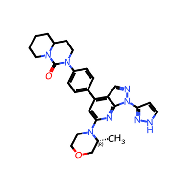 C[C@@H]1COCCN1c1cc(-c2ccc(N3CCC4CCCCN4C3=O)cc2)c2cnn(-c3cc[nH]n3)c2n1